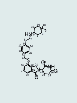 CC1(C)CCC(NCCc2ccc(CSc3cccc4c3CN(C3CCC(=O)NC3=O)C4=O)cc2)CC1